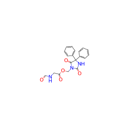 O=CNCC(=O)OCN1C(=O)NC(c2ccccc2)(c2ccccc2)C1=O